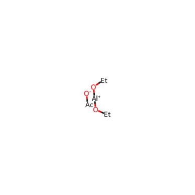 CC(=O)[O-].CC[O][Al+][O]CC